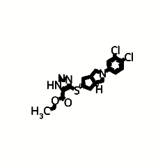 CCOC(=O)c1[nH]nnc1S[C@@H]1CC2CN(c3ccc(Cl)c(Cl)c3)C[C@H]2C1